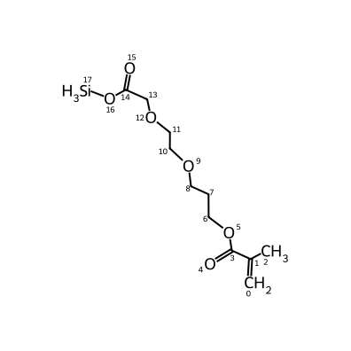 C=C(C)C(=O)OCCCOCCOCC(=O)O[SiH3]